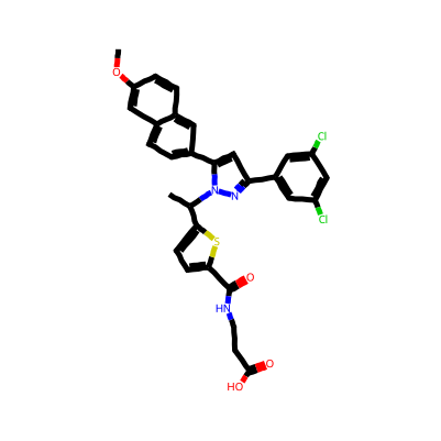 COc1ccc2cc(-c3cc(-c4cc(Cl)cc(Cl)c4)nn3C(C)c3ccc(C(=O)NCCC(=O)O)s3)ccc2c1